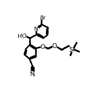 C[Si](C)(C)CCOCOc1cc(C#N)ccc1C(O)c1cccc(Br)n1